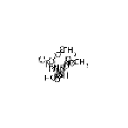 CCOC(=O)N1CCN(C(=O)[C@H](CP(=O)(O)O)NC(=O)c2cc(-c3ccc(OC)cc3)cc(-c3ccccc3)n2)CC1